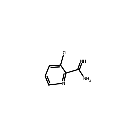 N=C(N)c1ncccc1Cl